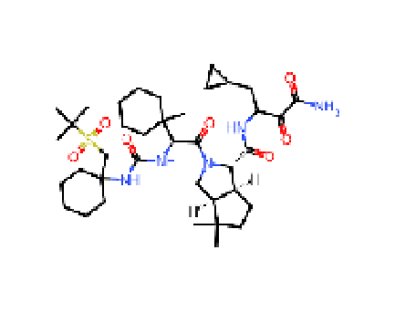 CC1(C)CC[C@@H]2[C@@H](C(=O)NC(CC3CC3)C(=O)C(N)=O)N(C(=O)[C@@H](NC(=O)NC3(CS(=O)(=O)C(C)(C)C)CCCCC3)C3(C)CCCCC3)C[C@@H]21